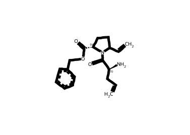 C=CC[C@H](N)C(=O)N1C(C=C)CC[C@H]1C(=O)OCc1ccccc1